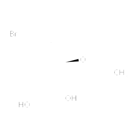 CCO[C@H](C=CBr)C(O)CO